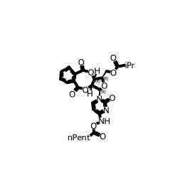 CCCCCC(=O)ONc1ccn([C@@H]2O[C@H](COC(=O)C(C)C)[C@H]3OC(=O)c4ccccc4C(=O)O[C@H]32)c(=O)n1